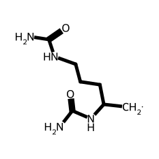 [CH2]C(CCCNC(N)=O)NC(N)=O